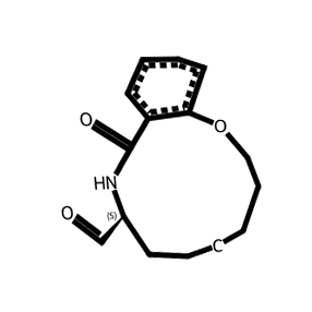 O=C[C@@H]1CCCCCCOc2ccccc2C(=O)N1